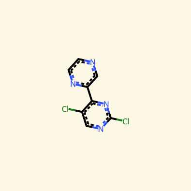 Clc1ncc(Cl)c(-c2cnccn2)n1